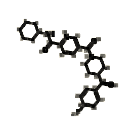 O=C(NC1CCCCC1)c1ccc(C(=O)N2CCC(C(=O)c3ccc(F)cc3)CC2)cn1